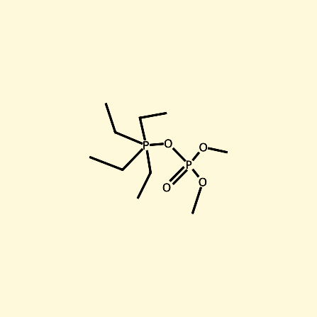 CCP(CC)(CC)(CC)OP(=O)(OC)OC